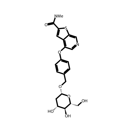 CNC(=O)c1cc2c(Oc3ccc(CO[C@H]4C[C@@H](O)[C@H](O)[C@@H](CO)O4)cc3)cncc2s1